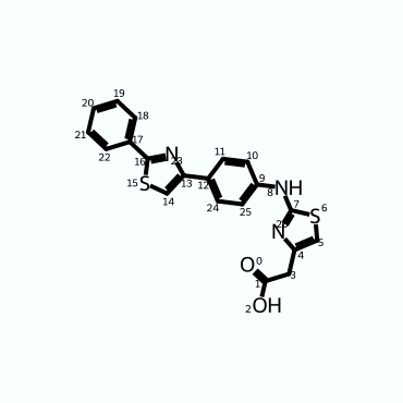 O=C(O)Cc1csc(Nc2ccc(-c3csc(-c4ccccc4)n3)cc2)n1